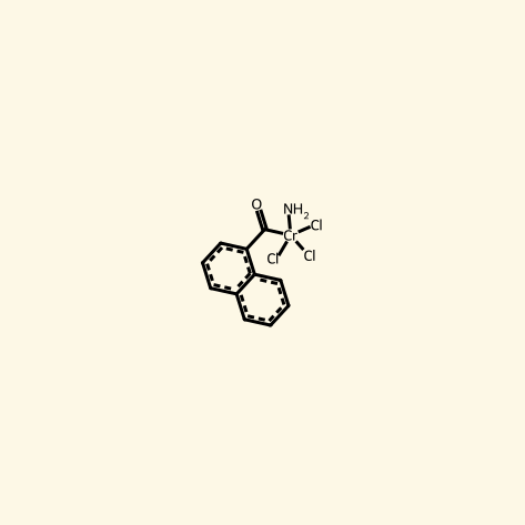 [NH2][Cr]([Cl])([Cl])([Cl])[C](=O)c1cccc2ccccc12